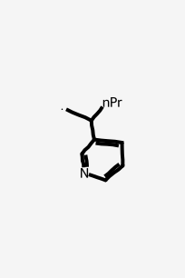 [CH2]C(CCC)c1cccnc1